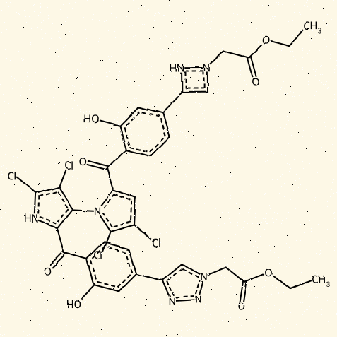 CCOC(=O)Cn1cc(-c2ccc(C(=O)c3[nH]c(Cl)c(Cl)c3-n3c(C(=O)c4ccc(-c5cn(CC(=O)OCC)[nH]5)cc4O)cc(Cl)c3Cl)c(O)c2)nn1